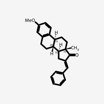 COc1ccc2c(c1)CC[C@@H]1[C@@H]2CC[C@]2(C)C(=O)C(=Cc3ccccc3)C[C@@H]12